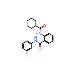 O=C(Nc1cccc(I)c1)c1ccccc1NC(=O)C1CCCCC1